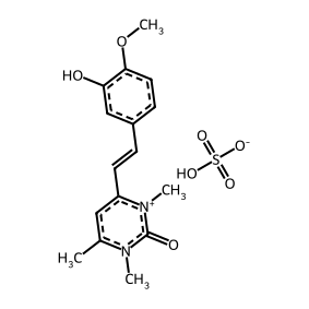 COc1ccc(C=Cc2cc(C)n(C)c(=O)[n+]2C)cc1O.O=S(=O)([O-])O